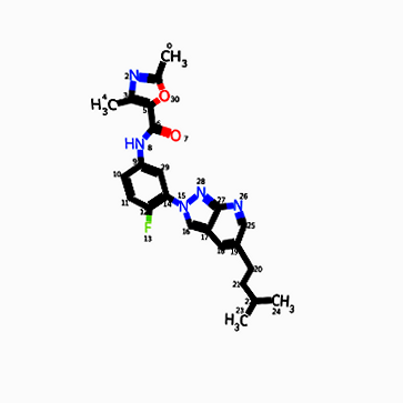 Cc1nc(C)c(C(=O)Nc2ccc(F)c(-n3cc4cc(CCC(C)C)cnc4n3)c2)o1